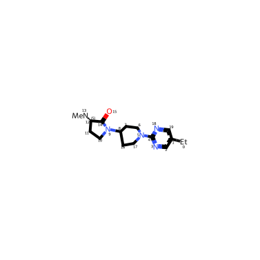 CCc1cnc(N2CCC(N3CC[C@H](NC)C3=O)CC2)nc1